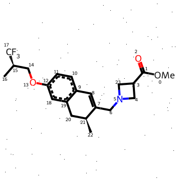 COC(=O)C1CN(CC2=Cc3ccc(OC[C@@H](C)C(F)(F)F)cc3C[C@@H]2C)C1